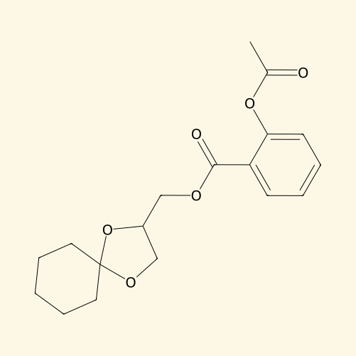 CC(=O)Oc1ccccc1C(=O)OCC1COC2(CCCCC2)O1